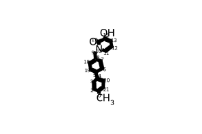 Cc1ccc(-c2ccc(Cn3cccc(O)c3=O)cc2)cc1